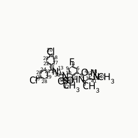 CC(NC(=O)c1cc(F)cc(N(C2CN(C(c3ccc(Cl)cc3)c3ccc(Cl)cc3)C2)S(C)(=O)=O)c1)c1cnn(C)c1